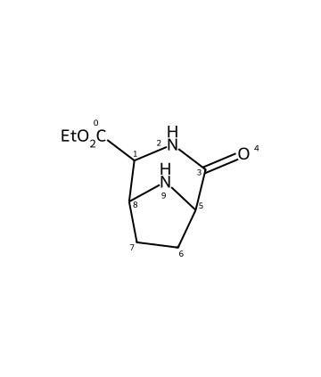 CCOC(=O)C1NC(=O)C2CCC1N2